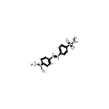 CC(C)NS(=O)(=O)c1ccc(/N=N/c2ccc(N(C)C)cc2)cc1